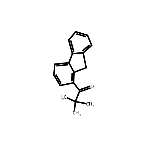 CC(C)(C)C(=O)c1cccc2c1Cc1ccccc1-2